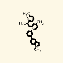 C=C1C=CN(c2cccc(-c3ccc4c(ccn4C)c3)c2)C(CC(C)c2cccc(C)n2)=C1